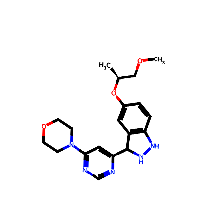 COC[C@H](C)Oc1ccc2c(c1)C(c1cc(N3CCOCC3)ncn1)NN2